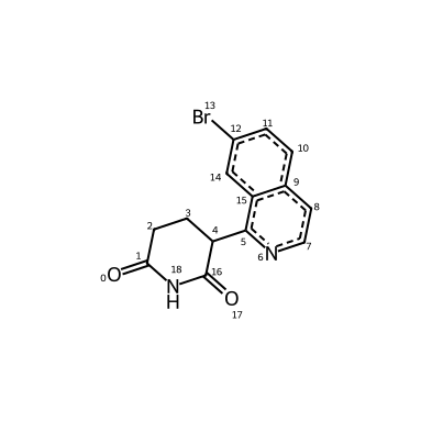 O=C1CCC(c2nccc3ccc(Br)cc23)C(=O)N1